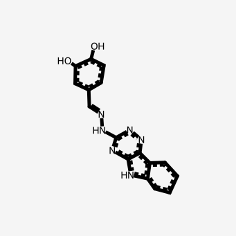 Oc1ccc(/C=N/Nc2nnc3c(n2)[nH]c2ccccc23)cc1O